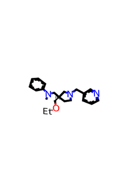 CCOC[C@]1(CN(C)c2ccccc2)CCN(Cc2cccnc2)C1